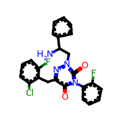 NC(Cn1nc(Cc2c(F)cccc2Cl)c(=O)n(-c2ccccc2F)c1=O)c1ccccc1